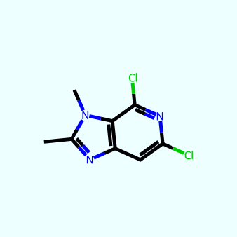 Cc1nc2cc(Cl)nc(Cl)c2n1C